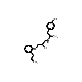 C=CCc1ccccc1OCC(O)CNC(C)Cc1ccc(O)cc1